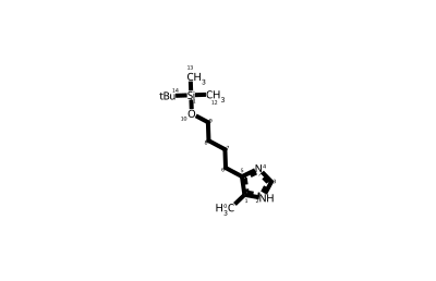 Cc1[nH]cnc1CCCCO[Si](C)(C)C(C)(C)C